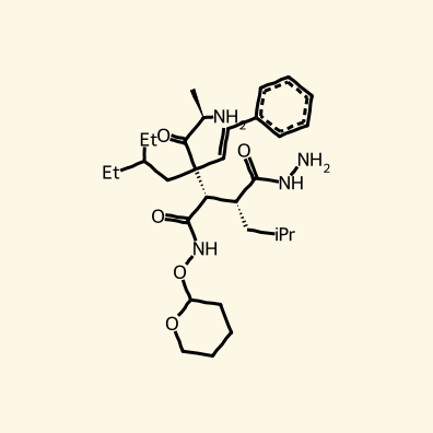 CCC(CC)CC(/C=C/c1ccccc1)(C(=O)[C@@H](C)N)[C@@H](C(=O)NOC1CCCCO1)[C@@H](CC(C)C)C(=O)NN